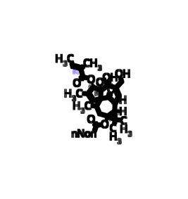 C/C=C(\C)C(=O)O[C@H]1C(C)=CC23C(=O)[C@@H](C=C(CO)[C@@H](O)[C@]12O)[C@@H]1C(C)(C)[C@]1(OC(=O)CCCCCCCCC)CC3C